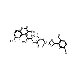 O=C(O)[C@H]1CN(C2CC(c3cc(F)ccc3F)C2)CC[C@H]1CCC(O)c1c(F)cnc2ccc(O)nc12